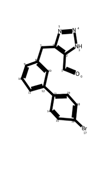 O=Cc1[nH]nnc1Cc1cccc(-c2ccc(Br)cc2)c1